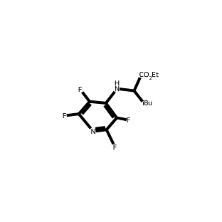 CCOC(=O)C(Nc1c(F)c(F)nc(F)c1F)C(C)CC